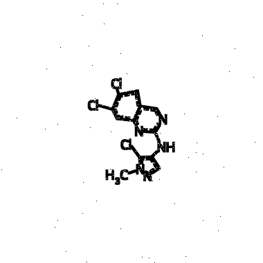 Cn1ncc(Nc2ncc3cc(Cl)c(Cl)cc3n2)c1Cl